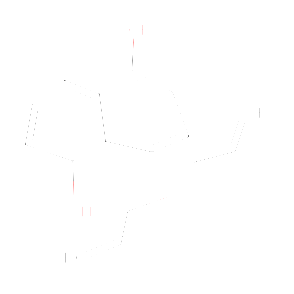 C=CCOCC=C.Oc1cccc2c(O)cccc12